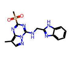 Cc1cnn2c(NCc3nc4ccccc4[nH]3)nc(S(C)(=O)=O)nc12